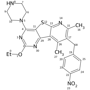 CCOc1nc(N2CCNCC2)c2sc3nc(C)c(Cc4ccc([N+](=O)[O-])cc4)c(C)c3c2n1